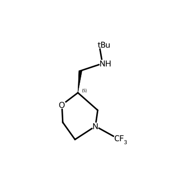 CC(C)(C)NC[C@H]1CN(C(F)(F)F)CCO1